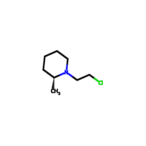 C[C@@H]1CCCCN1CCCl